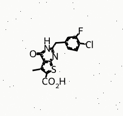 Cc1c(C(=O)O)sc2nc(Cc3ccc(Cl)c(F)c3)[nH]c(=O)c12